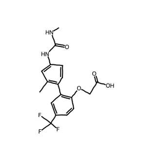 CNC(=O)Nc1ccc(-c2cc(C(F)(F)F)ccc2OCC(=O)O)c(C)c1